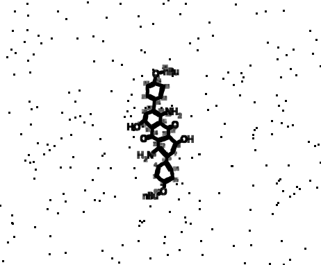 CCCCOc1ccc(-c2cc(O)c3c(c2N)C(=O)c2c(O)cc(-c4ccc(OCCCC)cc4)c(N)c2C3=O)cc1